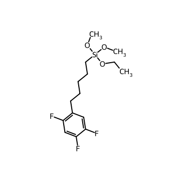 CCO[Si](CCCCCc1cc(F)c(F)cc1F)(OC)OC